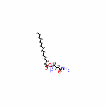 CCCCCCCCCCCCCCCC(=O)ONC(=O)CCC(N)=O